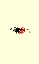 CC(=O)[C@H]1CC[C@H]2[C@@H]3C[C@@H](Br)[C@@]4(Br)C[C@@H](OC(=O)C(F)(F)F)CC[C@]4(C)[C@H]3CC[C@]12C